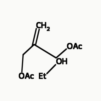 C=C(COC(C)=O)COC(C)=O.CCO